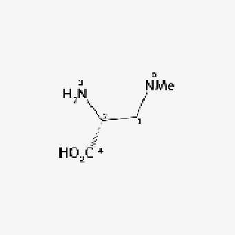 CNC[C@@H](N)C(=O)O